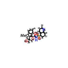 COc1ccc(C)cc1C1(C(=O)NS(=O)(=O)c2cccc3nc(C)ccc23)CC2(COC2)CO1